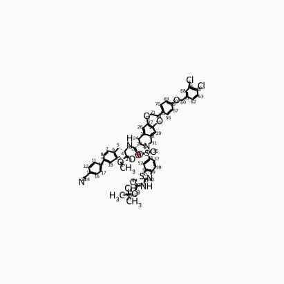 COC(=O)[C@H](Cc1ccc(-c2ccc(C#N)cc2)cc1)NC(=O)[C@@H]1Cc2cc3c(cc2CN1S(=O)(=O)c1ccc2nc(NC(=O)OC(C)(C)C)sc2c1)OC(c1ccc(OCc2ccc(Cl)c(Cl)c2)cc1)CO3